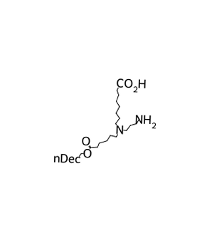 CCCCCCCCCCCOC(=O)CCCCCN(CCCN)CCCCCCCC(=O)O